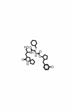 O=C(N[C@@H](CC1CCCCC1)C(=O)NC(CO)CC1CC2(CCCC2)NC1=O)OC1CCCC1Cc1cccc(Cl)c1